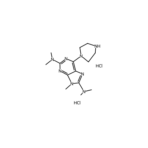 CN(C)c1nc(N2CCNCC2)c2nc(N(C)C)n(C)c2n1.Cl.Cl